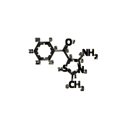 Cc1nc(N)c(C(=O)c2ccccc2)s1